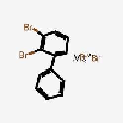 Brc1cccc(-c2ccccc2)c1Br.[Br-].[Br-].[Mg+2]